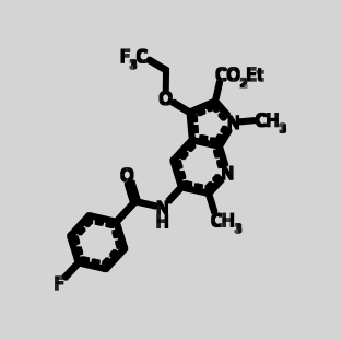 CCOC(=O)c1c(OCC(F)(F)F)c2cc(NC(=O)c3ccc(F)cc3)c(C)nc2n1C